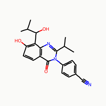 CC(C)c1nc2c(C(O)C(C)C)c(O)ccc2c(=O)n1-c1ccc(C#N)cc1